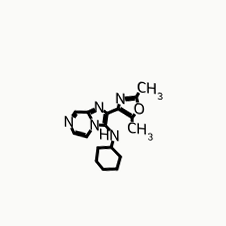 Cc1nc(-c2nc3cnccn3c2NC2CCCCC2)c(C)o1